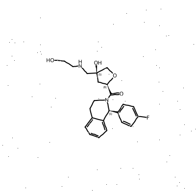 O=C([C@H]1C[C@](O)(CNCCO)CO1)N1CCc2ccccc2[C@@H]1c1ccc(F)cc1